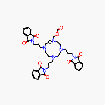 O=COCN1CCN(CCCN2C(=O)c3ccccc3C2=O)CCN(CCCN2C(=O)c3ccccc3C2=O)CCN(CCCN2C(=O)c3ccccc3C2=O)CC1